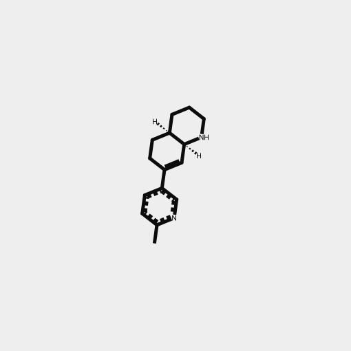 Cc1ccc(C2=C[C@@H]3NCCC[C@@H]3CC2)cn1